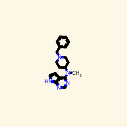 CN(c1ncnc2[nH]ccc12)C1CCN(Cc2ccccc2)CC1